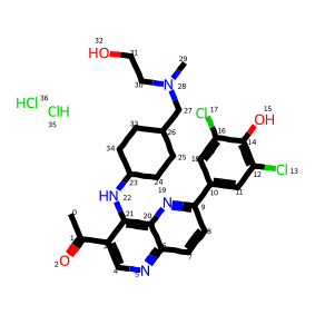 CC(=O)c1cnc2ccc(-c3cc(Cl)c(O)c(Cl)c3)nc2c1NC1CCC(CN(C)CCO)CC1.Cl.Cl